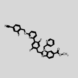 COC(=O)c1ccc2nc(Cc3cc(F)c(-c4cccc(OCc5ccc(C#N)cc5F)n4)cc3F)n(Cc3ccccn3)c2c1